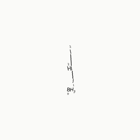 B.I[IH]I